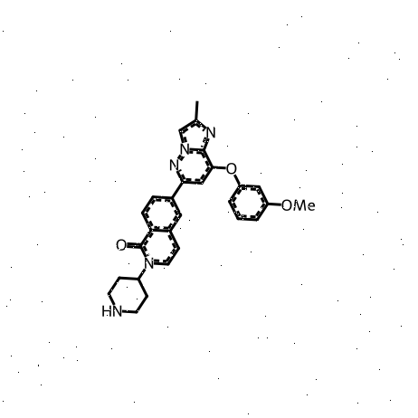 COc1cccc(Oc2cc(-c3ccc4c(=O)n(C5CCNCC5)ccc4c3)nn3cc(C)nc23)c1